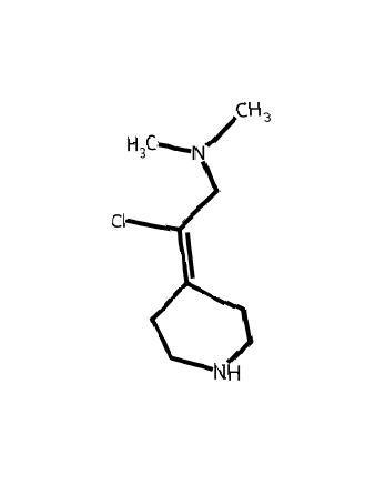 CN(C)CC(Cl)=C1CCNCC1